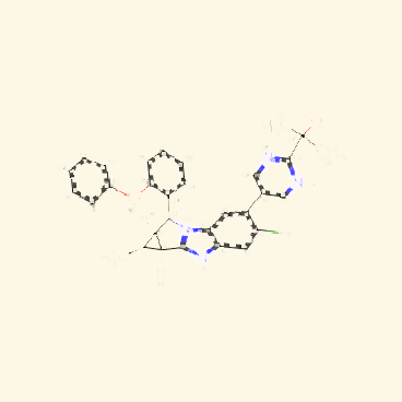 C[C@@H]1[C@@H]2c3nc4cc(F)c(-c5cnc(C(C)(C)O)nc5)cc4n3[C@H](c3ccccc3Oc3ccccc3)[C@H]12